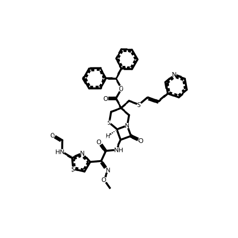 CON=C(C(=O)NC1C(=O)N2CC(CSC=Cc3cccnc3)(C(=O)OC(c3ccccc3)c3ccccc3)CS[C@H]12)c1csc(NC=O)n1